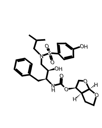 CC(C)CN(C[C@@H](O)[C@H](Cc1ccccc1)NC(=O)O[C@H]1CO[C@H]2OCC[C@H]21)S(=O)(=O)c1ccc(O)cc1